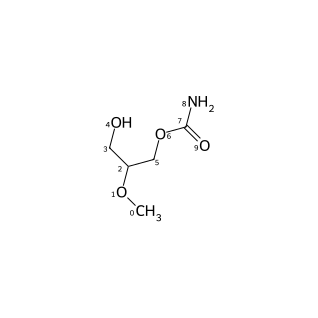 COC(CO)COC(N)=O